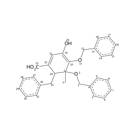 CC1(OCc2ccccc2)C(OCc2ccccc2)=C(O)C=C(C(=O)O)C1Cc1ccccc1